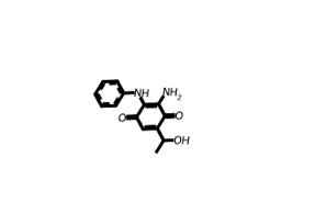 CC(O)C1=CC(=O)C(Nc2ccccc2)=C(N)C1=O